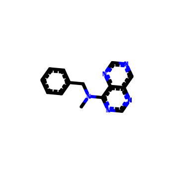 CN(Cc1ccccc1)c1ncnc2cncnc12